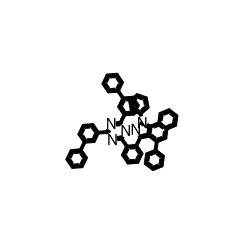 c1ccc(-c2cccc(-c3nc(-c4cccc(-c5ccccc5)c4)nc(-c4ccccc4-c4nn(-c5ccccc5)c5c4c(-c4ccccc4)cc4ccccc45)n3)c2)cc1